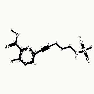 COC(=O)c1nc(C#CCCCOS(C)(=O)=O)ccc1C